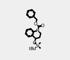 CC(C)(C)[Si](C)(C)OC1CCN(C(=O)OCc2ccccc2)c2ccccc21